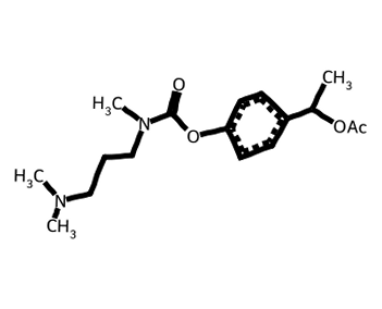 CC(=O)OC(C)c1ccc(OC(=O)N(C)CCCN(C)C)cc1